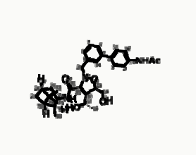 CC(=O)Nc1ccc(-c2cccc(CN3O[C@@H](CO)[C@@H]([C@H](C)O)[C@H]3C(=O)NC3C[C@H]4C[C@@H]([C@@H]3C)C4(C)C)c2)cc1